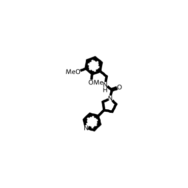 COc1cccc(CNC(=O)N2CCC(c3ccncc3)C2)c1OC